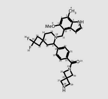 COc1cc(C)c2[nH]ccc2c1CN1CCC2(CC1c1ccc(C(=O)N3CC4(CNC4)C3)cc1)CC(F)(F)C2